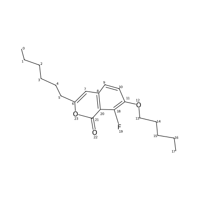 CCCCCCc1cc2ccc(OCCCCC)c(F)c2c(=O)o1